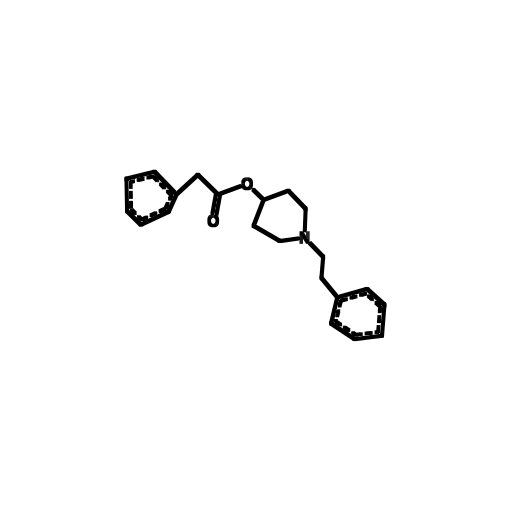 O=C(Cc1ccccc1)OC1CCN(CCc2ccccc2)CC1